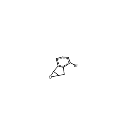 Brc1cccc2c1CC1OC21